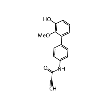 C#CC(=O)Nc1ccc(-c2cccc(O)c2OC)cc1